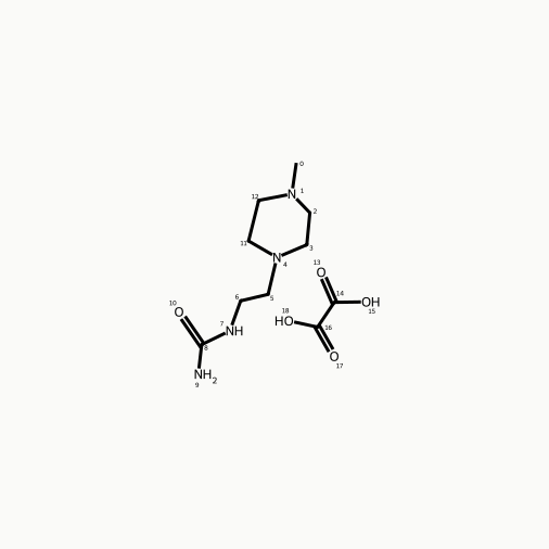 CN1CCN(CCNC(N)=O)CC1.O=C(O)C(=O)O